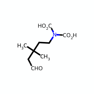 CC(C)(CC=O)CCN(C(=O)O)C(=O)O